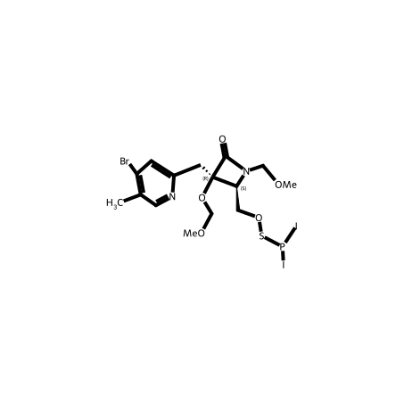 COCO[C@@]1(Cc2cc(Br)c(C)cn2)C(=O)N(COC)[C@H]1COSP(I)I